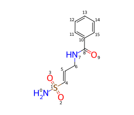 NS(=O)(=O)C=CCNC(=O)c1ccccc1